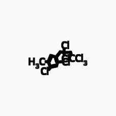 Cc1cc(CC(Cl)(Cl)CC(Cl)(Cl)Cl)c(Cl)cc1Cl